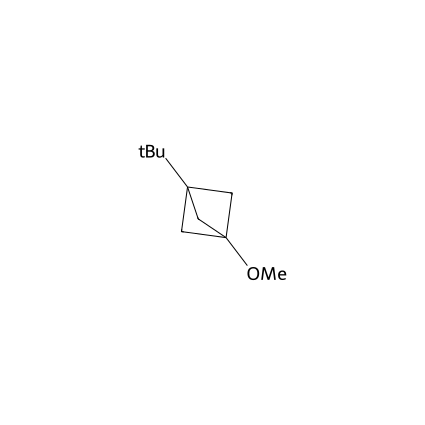 COC12CC(C(C)(C)C)(C1)C2